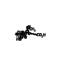 Cc1ncsc1-c1ccc(CNC(=O)[C@@H]2C[C@@H](O)CN2C(=O)[C@@H](NC(=O)C2(F)CC2)C(C)(C)C)c(OCCCCCCC(=O)O)c1